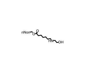 CCCCCCCCCCOC(=O)CCCCCCNCCO